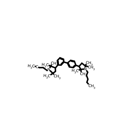 CCCCCN1C(C)(C)CC(c2ccc(-c3cccc(C4CC(C)(C)N(CCCCC)C4(C)C)c3)cc2)C1(C)C